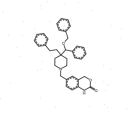 O=C1Nc2ccc(CN3CCC(CCc4ccccc4)(C(OCc4ccccc4)c4ccccc4)CC3)cc2CO1